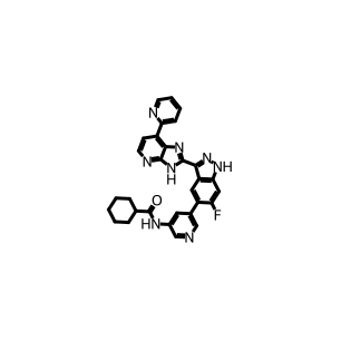 O=C(Nc1cncc(-c2cc3c(-c4nc5c(-c6ccccn6)ccnc5[nH]4)n[nH]c3cc2F)c1)C1CCCCC1